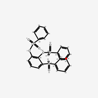 O=S(=O)(Oc1cccc(S(=O)(=O)c2ccccc2)c1OS(=O)(=O)c1ccccc1)c1ccccc1